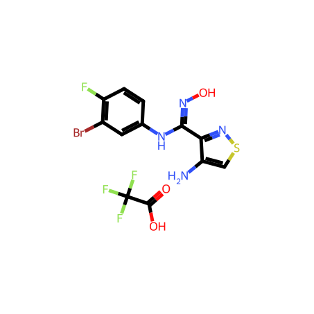 Nc1csnc1/C(=N\O)Nc1ccc(F)c(Br)c1.O=C(O)C(F)(F)F